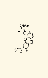 COC(=O)COc1ncccc1Oc1cc(NC=S)c(F)cc1Cl